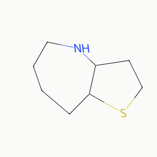 C1CCC2SCCC2NC1